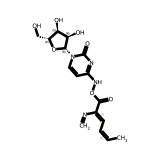 C=N/C(=C\C=C/C)C(=O)ONc1ccn([C@@H]2O[C@H](CO)[C@@H](O)[C@H]2O)c(=O)n1